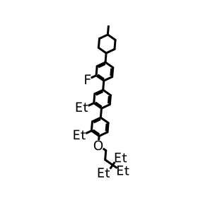 CCc1cc(-c2ccc(-c3ccc(C4CCC(C)CC4)cc3F)cc2CC)ccc1OCCC(CC)(CC)CC